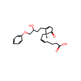 C[C@]1(C/C=C\CCCC(=O)O)C(=O)CC=C1CCC(O)COc1ccccc1